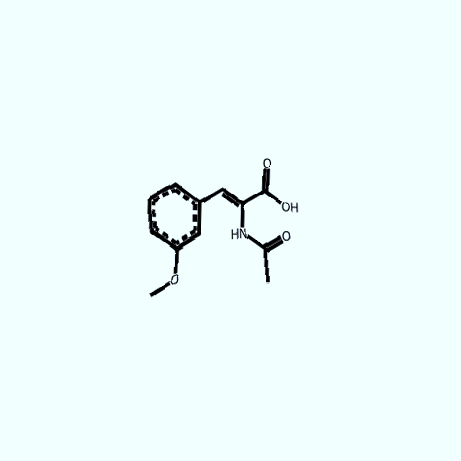 COc1cccc(C=C(NC(C)=O)C(=O)O)c1